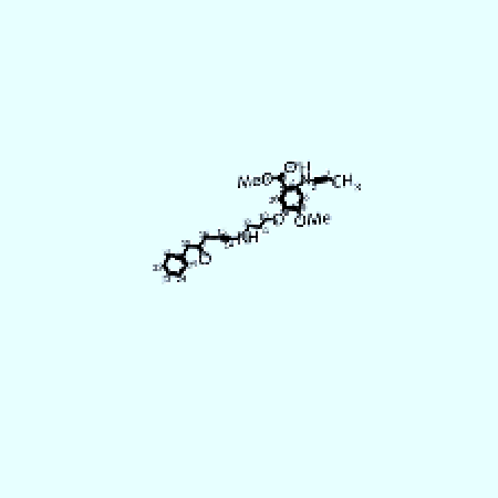 CC#CNc1cc(OC)c(OCCCNC#CCC(=O)Cc2ccccc2)cc1C(=O)OC